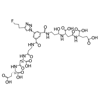 O=C(O)CCC(NC(=O)CC(NC(O)CCNC(=O)c1cc(C(=O)NCCC(=O)N[C@H](CC(=O)N[C@@H](CCC(=O)O)C(=O)O)C(=O)O)cc(-n2cc(CCCF)nn2)c1)C(=O)O)C(=O)O